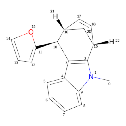 Cn1c2c(c3ccccc31)[C@@H](c1ccco1)[C@@H]1C=C[C@H]2C1